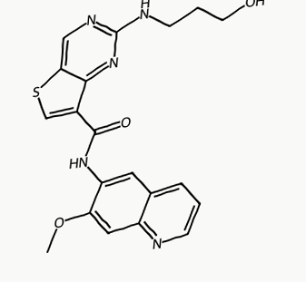 COc1cc2ncccc2cc1NC(=O)c1csc2cnc(NCCCO)nc12